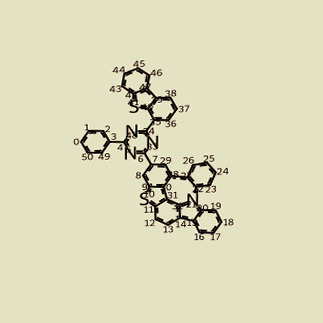 c1ccc(-c2nc(-c3cc4sc5ccc6c7ccccc7n7c8ccccc8c(c3)c4c5c67)nc(-c3cccc4c3sc3ccccc34)n2)cc1